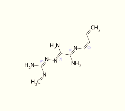 C=C\C=C/N=C(N)/C(N)=N/N=C(/N)N=C